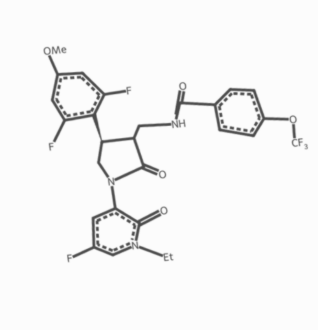 CCn1cc(F)cc(N2C[C@@H](c3c(F)cc(OC)cc3F)C(CNC(=O)c3ccc(OC(F)(F)F)cc3)C2=O)c1=O